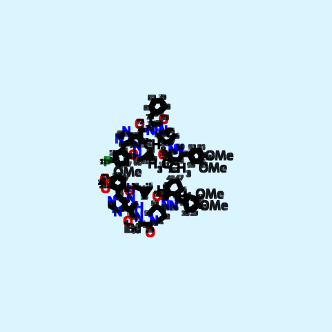 CC[C@H](C)[C@H](NC(=O)c1c[nH]c2c(-c3c(OCC4CC4)ccc4c3OCO4)ncnc12)C(=O)N1CCC(N2N=C(c3ccc(OC)c(OC)c3)[C@H]3CCCC[C@H]3C2=O)CC1.COc1cc(OCC2CC2)c(-c2ncnc3c(C(=O)N[C@H](Cc4ccccc4)C(=O)N4CCC(N5N=C(c6ccc(OC)c(OC)c6)CC(C)(C)C5=O)CC4)c(C)[nH]c23)cc1F